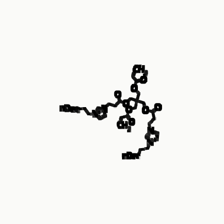 C=CC(=O)OCC(COC(=O)C=C)(COC(=O)CCn1cc[n+](CCCCCCCCCCCC)c1)COC(=O)CCn1cc[n+](CCCCCCCCCCCC)c1